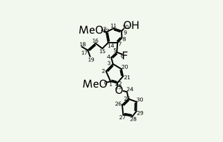 COc1cc(C=C(F)c2cc(O)cc(OC)c2CC=C(C)C)ccc1OCc1ccccc1